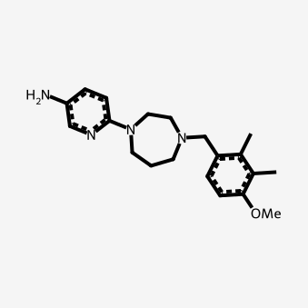 COc1ccc(CN2CCCN(c3ccc(N)cn3)CC2)c(C)c1C